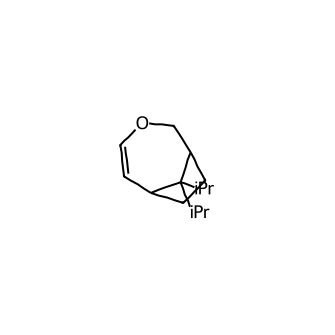 CC(C)C1(C(C)C)C2C=COCC1CC2